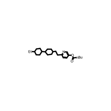 CCCCC(=O)Oc1ccc(CCC2CCC(C3CCC(CC)CC3)CC2)nc1